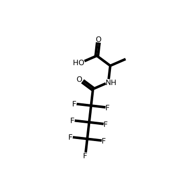 CC(NC(=O)C(F)(F)C(F)(F)C(F)(F)F)C(=O)O